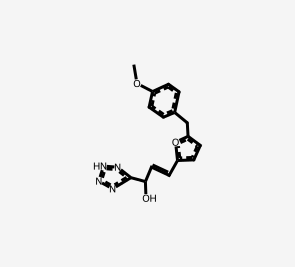 COc1ccc(Cc2ccc(C=CC(O)c3nn[nH]n3)o2)cc1